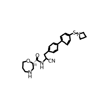 N#CC(Cc1ccc(-c2ccc(SN3CCC3)cc2)cc1)NC(=O)[C@@H]1CNCCCO1